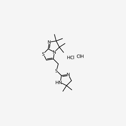 CC1(C)CN=C(SCC2=CSC3=NC(C)(C)C(C)(C)N23)N1.Cl.Cl